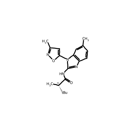 Cc1ccc2nc(NC(=O)[C@@H](C)C(C)(C)C)n(-c3cc(C)no3)c2c1